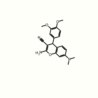 COc1ccc(C2C(C#N)=C(N)Oc3cc(N(C)C)ccc32)cc1OC